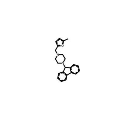 Cc1ccc(CN2CCN(C3c4ccccc4-c4ccccc43)CC2)o1